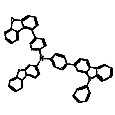 c1ccc(-n2c3ccccc3c3ccc(-c4ccc(N(c5ccc(-c6cccc7oc8ccccc8c67)cc5)c5ccc6c(c5)sc5ccccc56)cc4)cc32)cc1